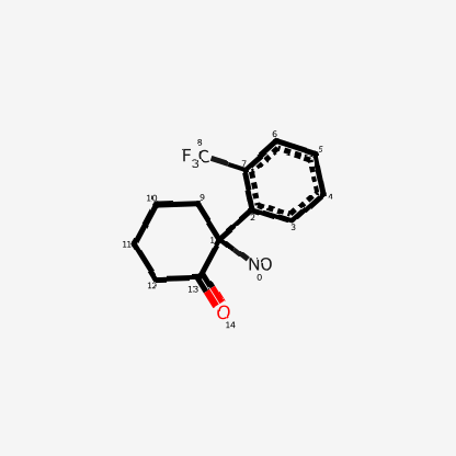 O=NC1(c2ccccc2C(F)(F)F)CCCCC1=O